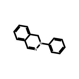 [C]1=NN(c2ccccc2)Cc2ccccc21